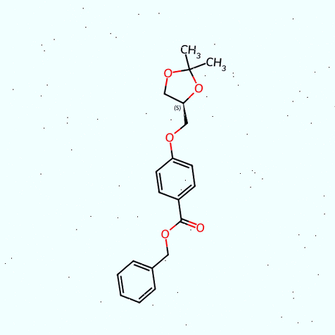 CC1(C)OC[C@H](COc2ccc(C(=O)OCc3ccccc3)cc2)O1